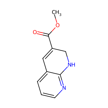 COC(=O)C1=Cc2cccnc2NC1